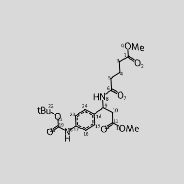 COC(=O)CCCC(=O)NC(CC(=O)OC)c1ccc(NC(=O)OC(C)(C)C)cc1